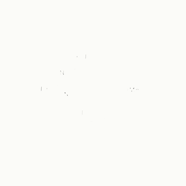 COc1cccc(F)c1-c1ccc2c(O)nc(O)nc2c1F